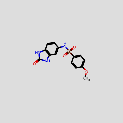 COc1ccc(S(=O)(=O)Nc2ccc3[nH]c(=O)[nH]c3c2)cc1